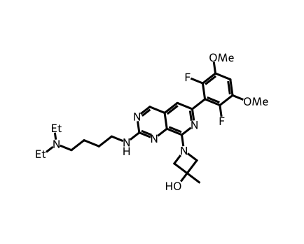 CCN(CC)CCCCNc1ncc2cc(-c3c(F)c(OC)cc(OC)c3F)nc(N3CC(C)(O)C3)c2n1